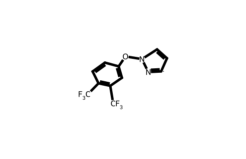 FC(F)(F)c1ccc(On2cc[c]n2)cc1C(F)(F)F